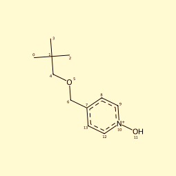 CC(C)(C)COCc1cc[n+](O)cc1